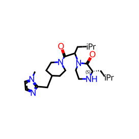 CC(C)CC(C(=O)N1CCC(Cc2nccn2C)CC1)N1CCN[C@@H](CC(C)C)C1=O